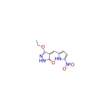 CCOC1=NNC(=O)/C1=C\c1ccc([N+](=O)[O-])[nH]1